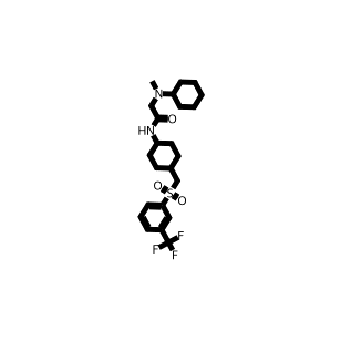 CN(CC(=O)NC1CCC(CS(=O)(=O)c2cccc(C(F)(F)F)c2)CC1)C1CCCCC1